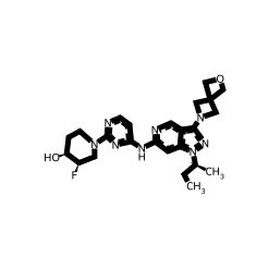 CC[C@H](C)n1nc(N2CC3(COC3)C2)c2cnc(Nc3ccnc(N4CC[C@@H](O)[C@@H](F)C4)n3)cc21